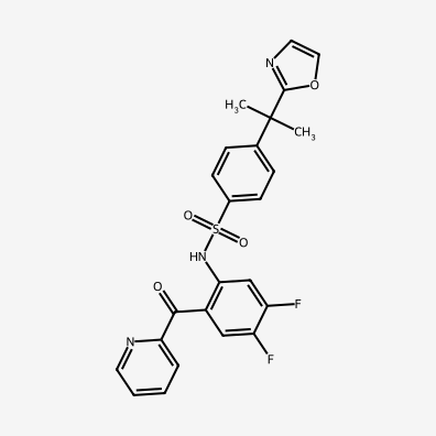 CC(C)(c1ccc(S(=O)(=O)Nc2cc(F)c(F)cc2C(=O)c2ccccn2)cc1)c1ncco1